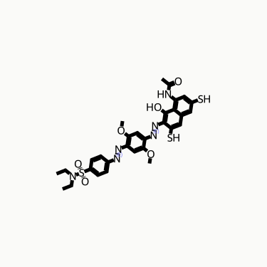 CCN(CC)S(=O)(=O)c1ccc(/N=N/c2cc(OC)c(/N=N/c3c(S)cc4cc(S)cc(NC(C)=O)c4c3O)cc2OC)cc1